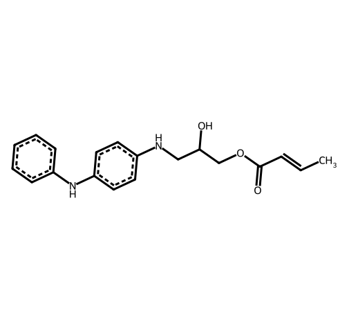 CC=CC(=O)OCC(O)CNc1ccc(Nc2ccccc2)cc1